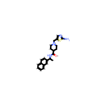 CC(NC(=O)C1CCN(Cc2cnc(N)s2)CC1)c1ccc2ccccc2c1